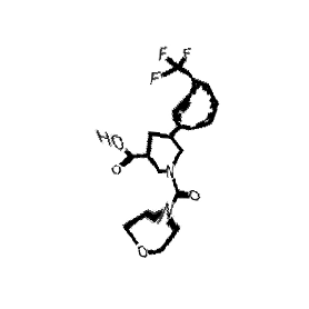 O=C(O)C1CC(c2cccc(C(F)(F)F)c2)CN(C(=O)N2CCOCC2)C1